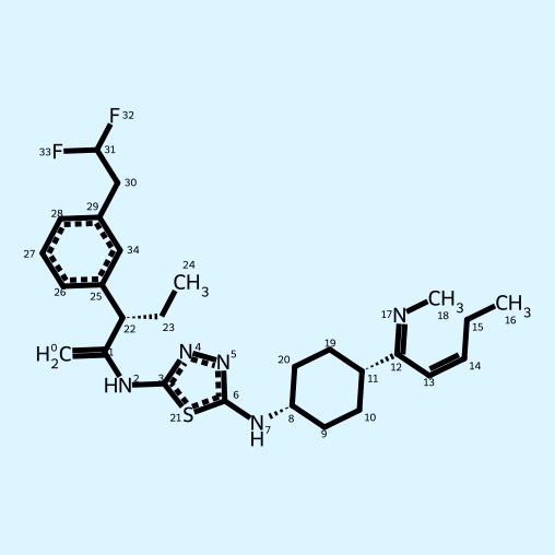 C=C(Nc1nnc(N[C@H]2CC[C@@H](C(/C=C\CC)=N/C)CC2)s1)[C@@H](CC)c1cccc(CC(F)F)c1